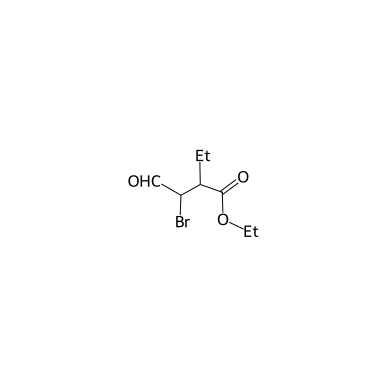 CCOC(=O)C(CC)C(Br)C=O